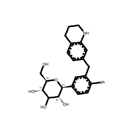 CC(C)c1ccc([C@@H]2O[C@H](CO)[C@@H](O)C(O)[C@H]2O)cc1Cc1ccc2c(c1)NCCC2